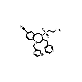 CCCS(=O)(=O)N1Cc2cc(C#N)ccc2N(Cc2c[nH]cn2)CC1Cc1cccnc1